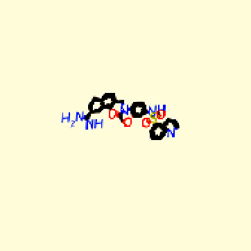 N=C(N)c1ccc2ccc(CN3C(=O)COc4cc(NS(=O)(=O)c5cccc6ncccc56)ccc43)cc2c1